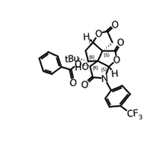 CC(C)(C)[C@]1(O)C[C@@H]2OC(=O)C[C@@]23C(=O)O[C@@H]2N(c4ccc(C(F)(F)F)cc4)C(=O)[C@H](OC(=O)c4ccccc4)C213